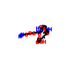 CC(/C=C/C1OCC[C@@]2(CO2)[C@@H]1O)=C\C[C@@H]1O[C@H](C)[C@H](NC(=O)/C=C\[C@H](C)OC(=O)N2CC[C@@H](C(=O)NCCOCCOCCOCCN=[N+]=[N-])C2)C[C@@H]1C